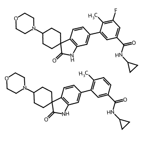 Cc1c(F)cc(C(=O)NC2CC2)cc1-c1ccc2c(c1)NC(=O)C21CCC(N2CCOCC2)CC1.Cc1ccc(C(=O)NC2CC2)cc1-c1ccc2c(c1)NC(=O)C21CCC(N2CCOCC2)CC1